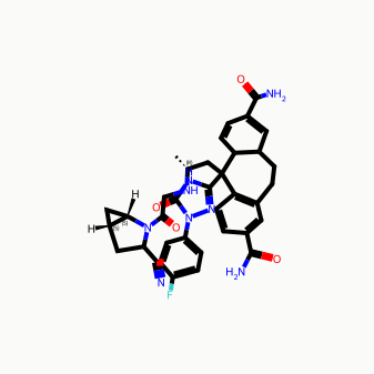 C[C@H](CC1(c2nn(-c3ccc(F)cc3)c(=O)[nH]2)c2ccc(C(N)=O)cc2CCC2C=C(C(N)=O)C=CC21)NCC(=O)N1C(C#N)C[C@@H]2C[C@@H]21